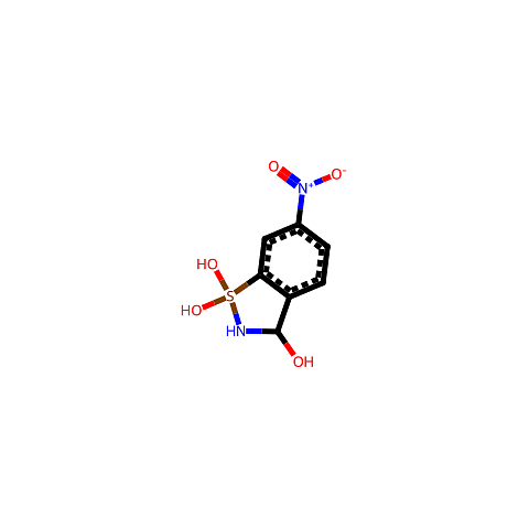 O=[N+]([O-])c1ccc2c(c1)S(O)(O)NC2O